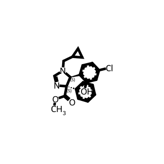 COC(=O)[C@@]1(c2ccccc2)N=CN(CC2CC2)[C@H]1c1ccc(Cl)cc1O